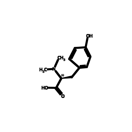 CN(C)[C@@H](Cc1ccc(O)cc1)C(=O)O